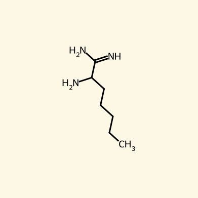 CCCCCC(N)C(=N)N